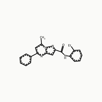 CCc1ccccc1NC(=O)c1cc2nc(-c3ccccc3)cc(C)n2n1